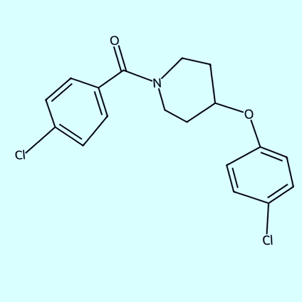 O=C(c1ccc(Cl)cc1)N1CCC(Oc2ccc(Cl)cc2)CC1